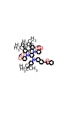 CC(C)(C)c1ccc(N(c2cc3c4c(c2)N(c2cccc5c2OCCO5)c2ccc(C(C)(C)C)cc2B4c2cc(C(C)(C)C)ccc2N3c2cccc3c2OCCO3)c2ccc3cc(-c4cc5ccccc5o4)ccc3c2)cc1